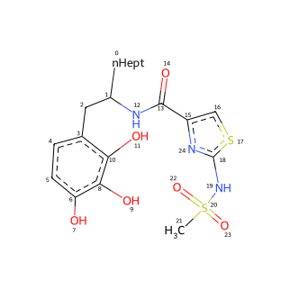 CCCCCCCC(Cc1ccc(O)c(O)c1O)NC(=O)c1csc(NS(C)(=O)=O)n1